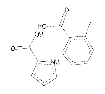 Cc1ccccc1C(=O)O.O=C(O)c1ccc[nH]1